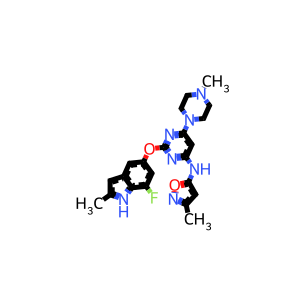 Cc1cc(Nc2cc(N3CCN(C)CC3)nc(Oc3cc(F)c4[nH]c(C)cc4c3)n2)on1